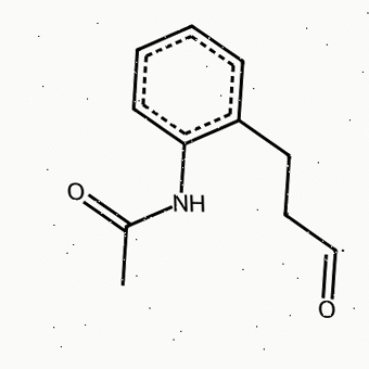 CC(=O)Nc1ccccc1CC[C]=O